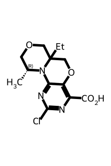 CCC12COC[C@@H](C)N1c1nc(Cl)nc(C(=O)O)c1OC2